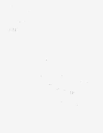 CC(C)(C)c1ccc(N2C3=CCCC=C3C(C)(C)c3cc(-c4ccc5c(ccc6cc(/C=C/Nc7ccccc7)ccc65)c4)ccc32)cc1